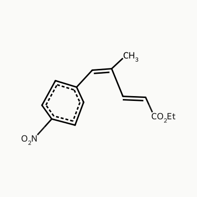 CCOC(=O)C=CC(C)=Cc1ccc([N+](=O)[O-])cc1